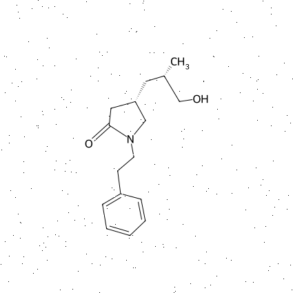 C[C@H](CO)C[C@H]1CC(=O)N(CCc2ccccc2)C1